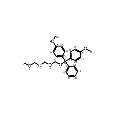 COCOCOCOC(c1ccccc1)(c1ccc(OC)cc1)c1ccc(OC)cc1